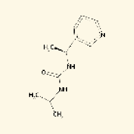 CC(C)NC(=O)N[C@@H](C)c1cccnc1